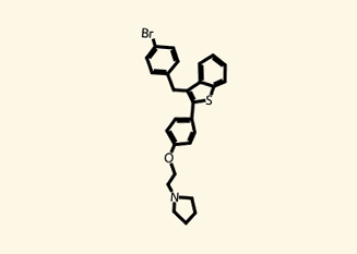 Brc1ccc(Cc2c(-c3ccc(OCCN4CCCC4)cc3)sc3ccccc23)cc1